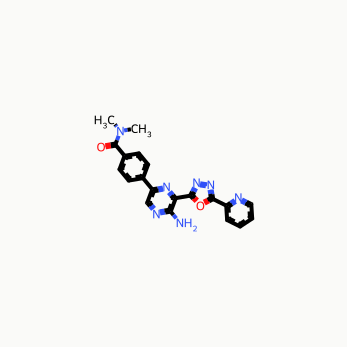 CN(C)C(=O)c1ccc(-c2cnc(N)c(-c3nnc(-c4ccccn4)o3)n2)cc1